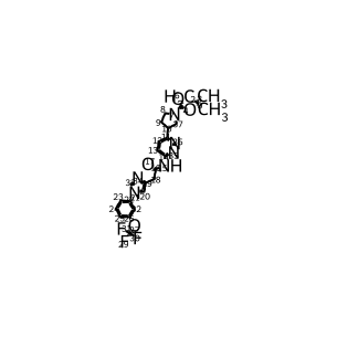 CC(C)(C)OC(=O)N1CCC(c2ccc(NC(=O)Cc3cn(-c4cccc(OC(F)(F)F)c4)cn3)nn2)C1